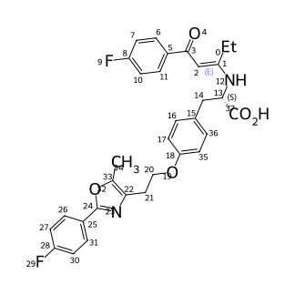 CC/C(=C\C(=O)c1ccc(F)cc1)N[C@@H](Cc1ccc(OCCc2nc(-c3ccc(F)cc3)oc2C)cc1)C(=O)O